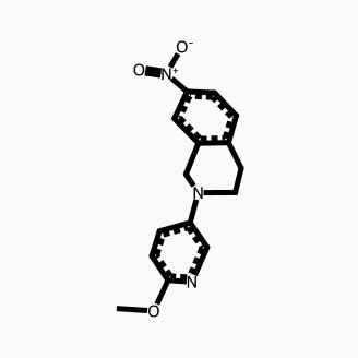 COc1ccc(N2CCc3ccc([N+](=O)[O-])cc3C2)cn1